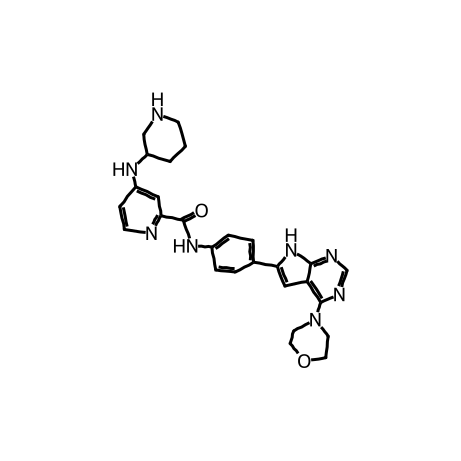 O=C(Nc1ccc(-c2cc3c(N4CCOCC4)ncnc3[nH]2)cc1)c1cc(NC2CCCNC2)ccn1